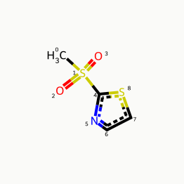 CS(=O)(=O)c1nccs1